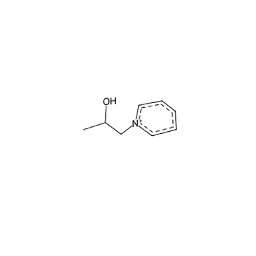 CC(O)C[n+]1ccccc1